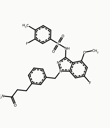 COc1cc(F)cc2c1c(NS(=O)(=O)c1ccc(C)c(F)c1)nn2Cc1cccc(CCC(N)=O)c1